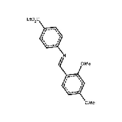 CCOC(=O)c1ccc(/N=C/c2ccc(OC)cc2OC)cc1